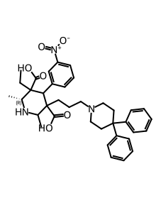 CCC1(C(=O)O)C(c2cccc([N+](=O)[O-])c2)C(CCCN2CCC(c3ccccc3)(c3ccccc3)CC2)(C(=O)O)C(C)N[C@@H]1C